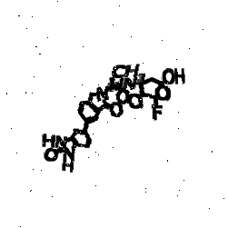 CC[C@@H](C(=O)NC(CC(=O)O)C(=O)CF)N1Cc2ccc(-c3ccc4[nH]c(=O)[nH]c4c3)cc2C1=O